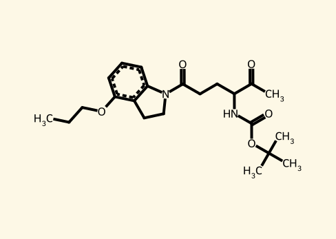 CCCOc1cccc2c1CCN2C(=O)CCC(NC(=O)OC(C)(C)C)C(C)=O